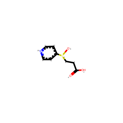 O=C(O)CC[S+]([O-])c1ccncc1